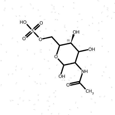 CC(=O)NC1C(O)OC(COS(=O)(=O)O)[C@@H](O)C1O